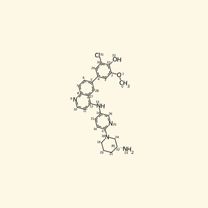 COc1cc(-c2ccc3nc[c]c(Nc4ccc(N5CCC[C@@H](N)C5)nc4)c3c2)cc(Cl)c1O